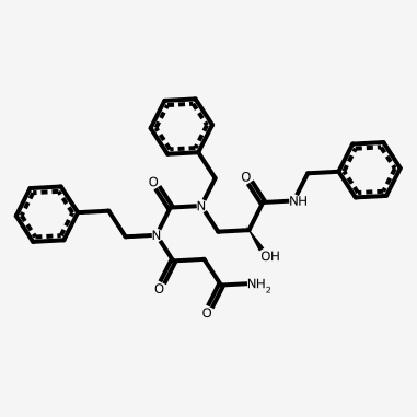 NC(=O)CC(=O)N(CCc1ccccc1)C(=O)N(Cc1ccccc1)C[C@H](O)C(=O)NCc1ccccc1